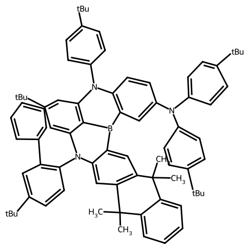 CC(C)(C)c1ccc(N(c2ccc(C(C)(C)C)cc2)c2ccc3c(c2)B2c4cc5c(cc4N(c4ccc(C(C)(C)C)cc4-c4ccccc4)c4cc(C(C)(C)C)cc(c42)N3c2ccc(C(C)(C)C)cc2)C(C)(C)c2ccccc2C5(C)C)cc1